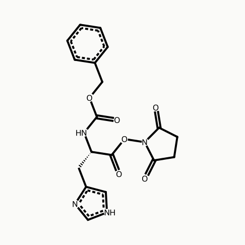 O=C(N[C@@H](Cc1c[nH]cn1)C(=O)ON1C(=O)CCC1=O)OCc1ccccc1